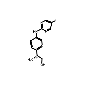 C[C@H](CO)c1ccc(Nc2ncc(F)cn2)cn1